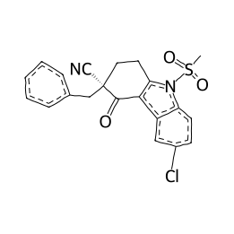 CS(=O)(=O)n1c2c(c3cc(Cl)ccc31)C(=O)[C@@](C#N)(Cc1ccccc1)CC2